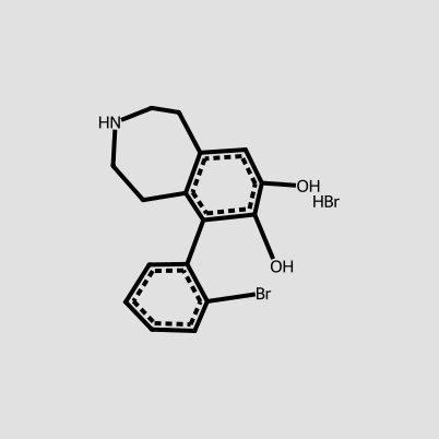 Br.Oc1cc2c(c(-c3ccccc3Br)c1O)CCNCC2